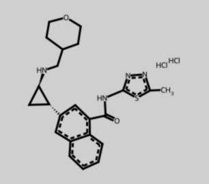 Cc1nnc(NC(=O)c2cc([C@@H]3C[C@H]3NCC3CCOCC3)cc3ccccc23)s1.Cl.Cl